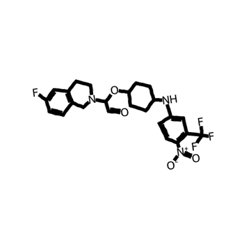 O=CC(OC1CCC(Nc2ccc([N+](=O)[O-])c(C(F)(F)F)c2)CC1)N1CCc2cc(F)ccc2C1